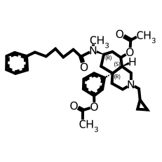 CC(=O)Oc1cccc([C@@]23CCN(CC4CC4)C[C@H]2C(OC(C)=O)C[C@H](N(C)C(=O)CCCCCc2ccccc2)C3)c1